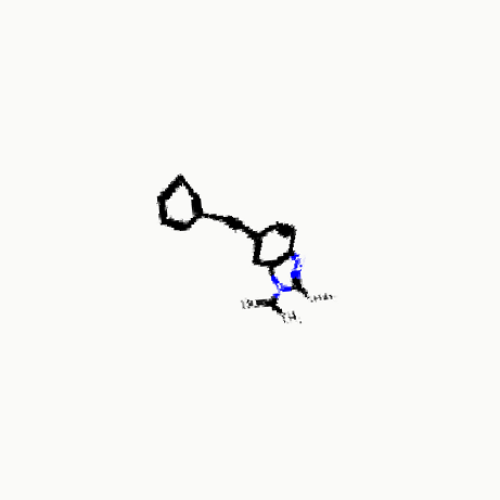 CC(=O)Nc1nc2ccc(C#Cc3ccccc3)cc2n1C(C)C(C)(C)C